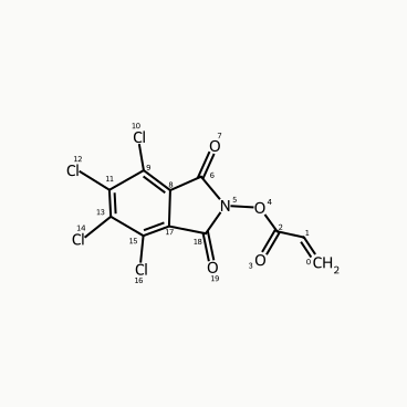 C=CC(=O)ON1C(=O)c2c(Cl)c(Cl)c(Cl)c(Cl)c2C1=O